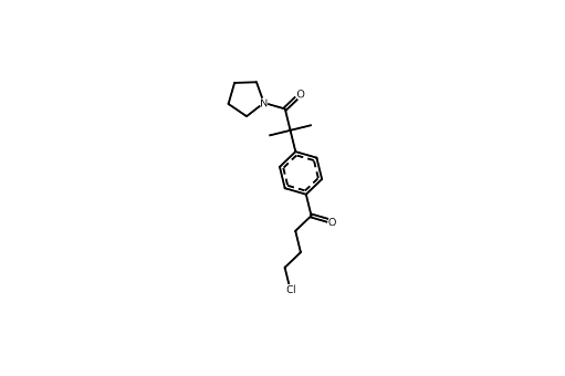 CC(C)(C(=O)N1CCCC1)c1ccc(C(=O)CCCCl)cc1